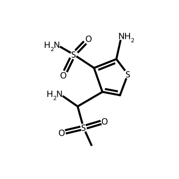 CS(=O)(=O)C(N)c1csc(N)c1S(N)(=O)=O